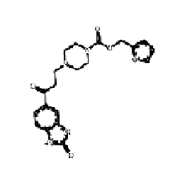 O=C(CCN1CCN(C(=O)OCc2ccco2)CC1)c1ccc2[nH]c(=O)oc2c1